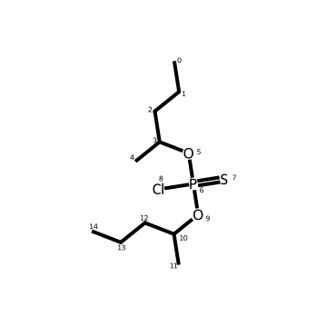 CCCC(C)OP(=S)(Cl)OC(C)CCC